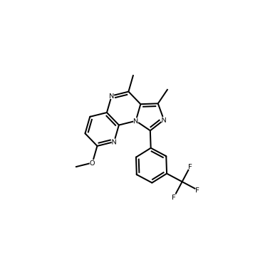 COc1ccc2nc(C)c3c(C)nc(-c4cccc(C(F)(F)F)c4)n3c2n1